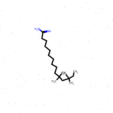 CCC(C)(C)CC(C)(C)CCCCCCCCCC(=N)N